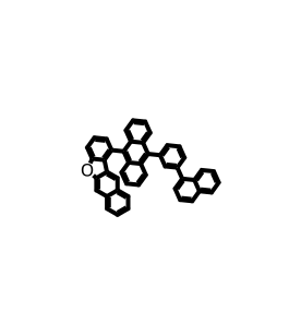 c1cc(-c2cccc3ccccc23)cc(-c2c3ccccc3c(-c3cccc4oc5cc6ccccc6cc5c34)c3ccccc23)c1